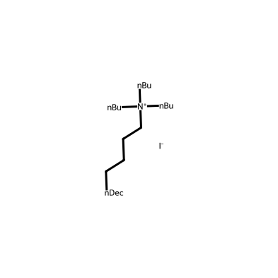 CCCCCCCCCCCCCC[N+](CCCC)(CCCC)CCCC.[I-]